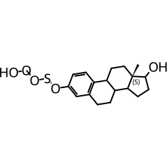 C[C@]12CCC3c4ccc(OSOOO)cc4CCC3C1CCC2O